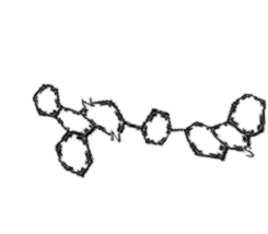 c1ccc2c(c1)sc1ccc(-c3ccc(-c4cnc5c6ccccc6c6ccccc6c5n4)cc3)cc12